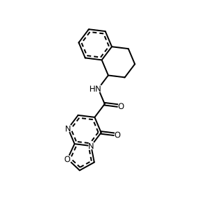 O=C(NC1CCCc2ccccc21)c1cnc2occn2c1=O